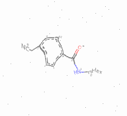 CCCCCCNC(=O)c1ccc(C#N)cc1